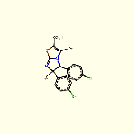 CC(C)C1=C(C(=O)O)SC2=NC(C)(c3ccc(Br)cc3)C(c3ccc(Cl)cc3)N21